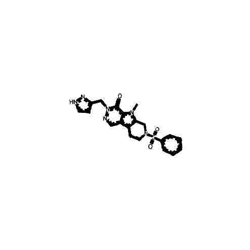 Cn1c2c(c3cnn(Cc4cc[nH]n4)c(=O)c31)CCN(S(=O)(=O)c1ccccc1)C2